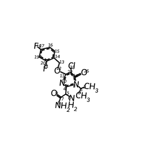 CC(C)n1c(C(N)C(N)=O)nc(OCc2ccc(F)cc2F)c(Cl)c1=O